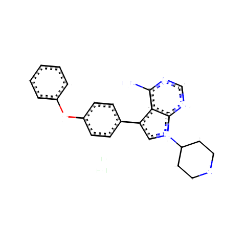 Cl.Cl.Nc1ncnc2c1c(-c1ccc(Oc3ccccc3)cc1)cn2C1CCNCC1